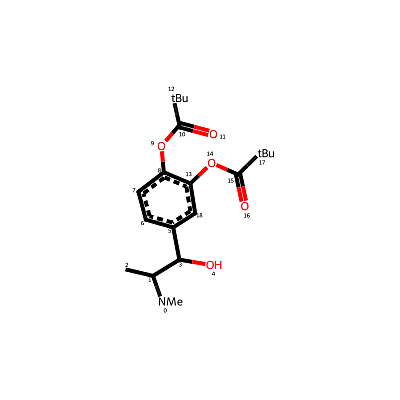 CNC(C)C(O)c1ccc(OC(=O)C(C)(C)C)c(OC(=O)C(C)(C)C)c1